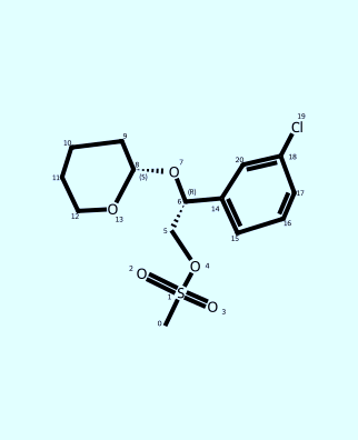 CS(=O)(=O)OC[C@H](O[C@H]1CCCCO1)c1cccc(Cl)c1